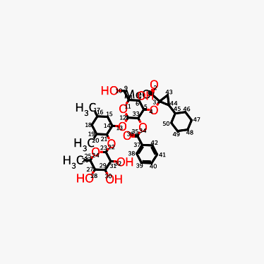 COC(=O)C1(OC2C(O)C(CO)OC(OC3CC(C)CC(C)C3OC3OC(C)C(O)C(O)C3O)C2OC(=O)c2ccccc2)CC1C1CCCCC1